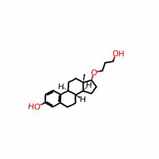 C[C@]12CC[C@@H]3c4ccc(O)cc4CC[C@H]3[C@@H]1CC[C@@H]2OCCCO